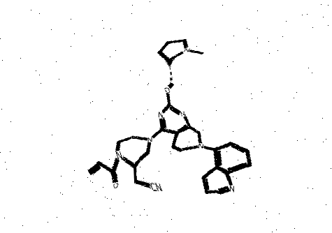 C=CC(=O)N1CCN(c2nc(OC[C@@H]3CCCN3C)nc3c2CCN(c2cccc4ncccc24)C3)CC1CC#N